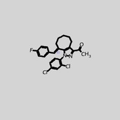 CC(=O)c1nn(-c2ccc(Cl)cc2Cl)c2c1CCCCC/C2=C\c1ccc(F)cc1